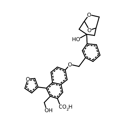 O=C(O)c1cc2cc(OCc3cccc(C4(O)CC5COC(C4)O5)c3)ccc2c(-c2ccoc2)c1CO